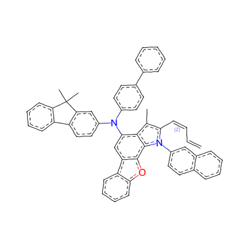 C=C/C=C\c1c(C)c2c(N(c3ccc(-c4ccccc4)cc3)c3ccc4c(c3)C(C)(C)c3ccccc3-4)cc3c4ccccc4oc3c2n1-c1ccc2ccccc2c1